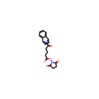 O=C(CCCC(=O)N1C2C=CC1c1ccccc12)ON1C(=O)CCC1=O